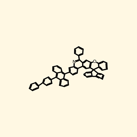 c1ccc(-c2ccc(-c3c4ccccc4c(-c4ccc5c(c4)nc(-c4ccccc4)c4cc6c(cc45)C4(c5ccccc5O6)c5ccccc5-c5ccccc54)c4ccccc34)cc2)cc1